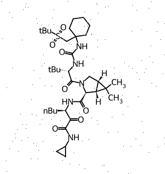 CCCC[C@@H](NC(=O)[C@@H]1[C@@H]2[C@H](CN1C(=O)[C@@H](NC(=O)NC1(CS(=O)(=O)C(C)(C)C)CCCCC1)C(C)(C)C)C2(C)C)C(=O)C(=O)NC1CC1